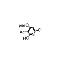 COc1cc(Cl)nc(O)c1C(C)=O